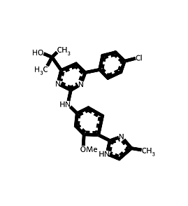 COc1cc(Nc2nc(-c3ccc(Cl)cc3)cc(C(C)(C)O)n2)ccc1-c1nc(C)c[nH]1